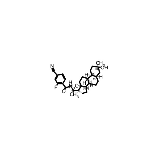 C[C@@H](NC(=O)c1ccc(C#N)cc1F)[C@H]1CC[C@H]2[C@@H]3CC[C@@H]4C[C@](C)(O)CC[C@@H]4[C@H]3CC[C@]12C